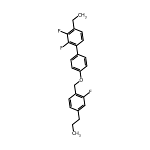 CCCc1ccc(COc2ccc(-c3ccc(CC)c(F)c3F)cc2)c(F)c1